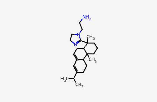 CC(C)C1=CC2=CCC3C(C)(C4=NCCN4CCN)CCCC3(C)C2CC1